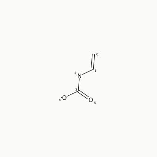 C=C[N]C([O])=O